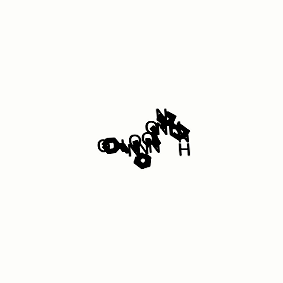 O=C(Nc1cnccc1N1CCNCC1)c1cnc(-n2c(=O)n(CCN3CCOCC3)c3ccccc32)o1